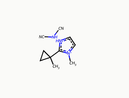 C[n+]1cc[nH]c1C1(C)CC1.N#CNC#N